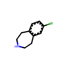 Brc1ccc2c(c1)CCNCC2